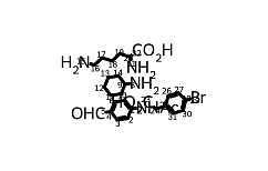 CC(=O)Nc1ccc(C=O)cc1.NC1CCCCC1.NCCCCC(N)C(=O)O.O=C(O)Cc1ccc(Br)cc1